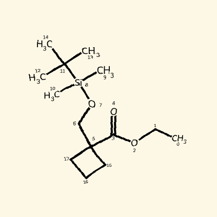 CCOC(=O)C1(CO[Si](C)(C)C(C)(C)C)CCC1